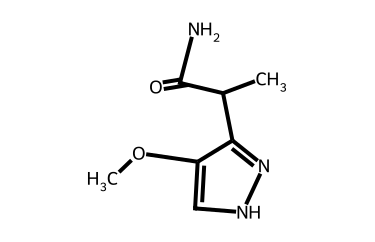 COc1c[nH]nc1C(C)C(N)=O